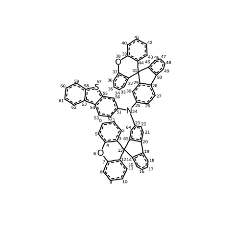 c1ccc2c(c1)Oc1ccccc1C21c2ccccc2-c2ccc(N(c3ccc4c(c3)C3(c5ccccc5Oc5ccccc53)c3ccccc3-4)c3ccc4c(c3)sc3ccccc34)cc21